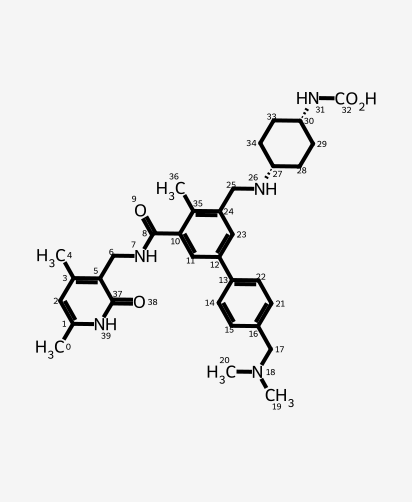 Cc1cc(C)c(CNC(=O)c2cc(-c3ccc(CN(C)C)cc3)cc(CN[C@H]3CC[C@@H](NC(=O)O)CC3)c2C)c(=O)[nH]1